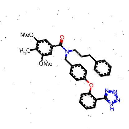 COc1cc(C(=O)N(CCCc2ccccc2)Cc2ccc(Oc3ccccc3-c3nnn[nH]3)cc2)cc(OC)c1C